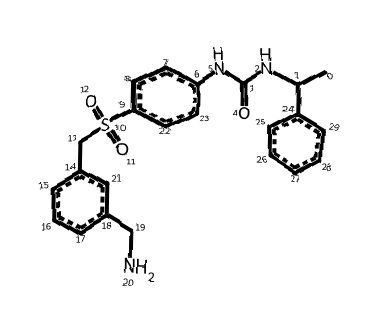 CC(NC(=O)Nc1ccc(S(=O)(=O)Cc2cccc(CN)c2)cc1)c1ccccc1